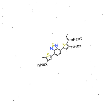 CC=C(CCCCC)c1sc(-c2ccc(-c3cc(CCCCCC)c(C)s3)c3nsnc23)cc1CCCCCC